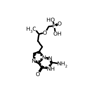 CC(CCc1cnc2c(=O)[nH]c(N)nn12)OCP(=O)(O)O